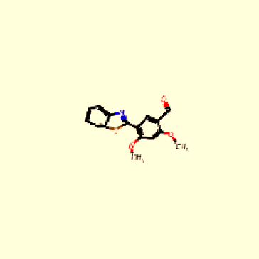 COc1cc(OC)c(-c2nc3ccccc3s2)cc1C=O